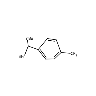 CCCCC(CCC)c1ccc(C(F)(F)F)cc1